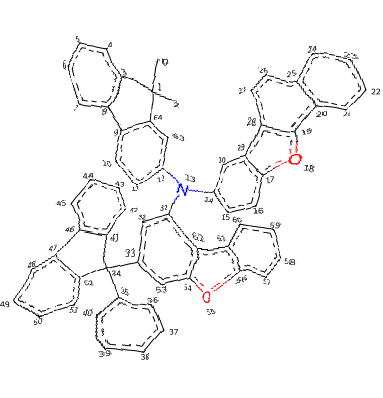 CC1(C)c2ccccc2-c2ccc(N(c3ccc4oc5c6ccccc6ccc5c4c3)c3cc(C4(c5ccccc5)c5ccccc5-c5ccccc54)cc4oc5ccccc5c34)cc21